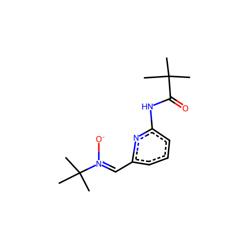 CC(C)(C)C(=O)Nc1cccc(C=[N+]([O-])C(C)(C)C)n1